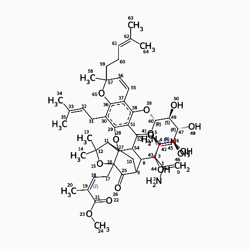 C=C(N)C(/C(N)=N\O)C1C2CC3C(C)(C)OC(C/C=C(/C)C(=O)OC)(C2=O)C32Oc3c(CC=C(C)C)c4c(c(O[C@H]5O[C@@H](CO)[C@H](O)[C@@H](O)[C@@H]5O)c3C(=O)C12)C=CC(C)(CCC=C(C)C)O4